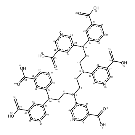 O=C(O)c1cncc(N(CCN(CCN(c2cncc(C(=O)O)c2)c2cncc(C(=O)O)c2)c2cncc(C(=O)O)c2)CCN(c2cncc(C(=O)O)c2)c2cncc(C(=O)O)c2)c1